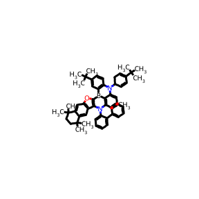 Cc1cc2c3c(c1)N(C1C=CC(C(C)(C)C)=CC1)c1ccc(C(C)(C)C)cc1B3c1oc3cc4c(cc3c1N2c1ccccc1-c1ccccc1)C(C)(C)CCC4(C)C